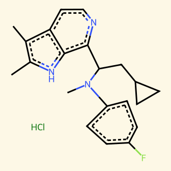 Cc1[nH]c2c(C(CC3CC3)N(C)c3ccc(F)cc3)nccc2c1C.Cl